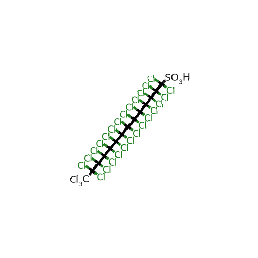 O=S(=O)(O)C(Cl)(Cl)C(Cl)(Cl)C(Cl)(Cl)C(Cl)(Cl)C(Cl)(Cl)C(Cl)(Cl)C(Cl)(Cl)C(Cl)(Cl)C(Cl)(Cl)C(Cl)(Cl)C(Cl)(Cl)C(Cl)(Cl)C(Cl)(Cl)C(Cl)(Cl)Cl